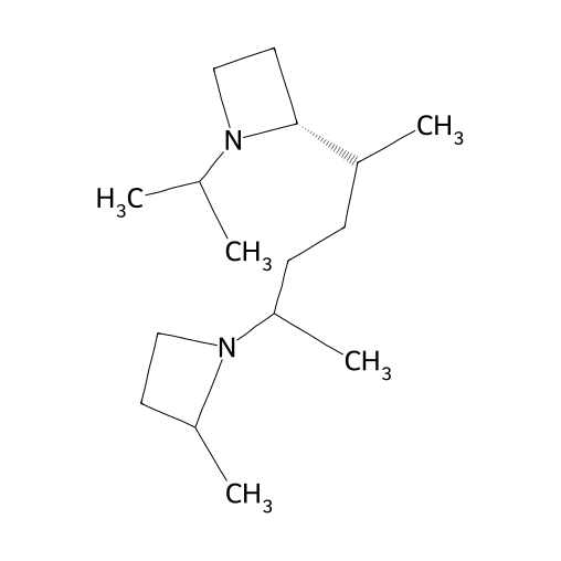 CC(CCC(C)N1CCC1C)[C@H]1CCN1C(C)C